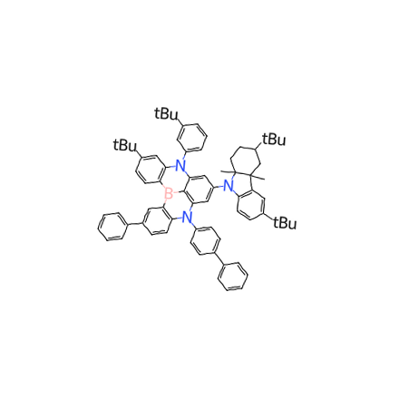 CC(C)(C)c1cccc(N2c3cc(C(C)(C)C)ccc3B3c4cc(-c5ccccc5)ccc4N(c4ccc(-c5ccccc5)cc4)c4cc(N5c6ccc(C(C)(C)C)cc6C6(C)CC(C(C)(C)C)CCC56C)cc2c43)c1